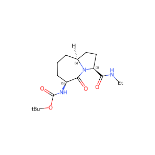 CCNC(=O)[C@@H]1CC[C@@H]2CCC[C@H](NC(=O)OC(C)(C)C)C(=O)N21